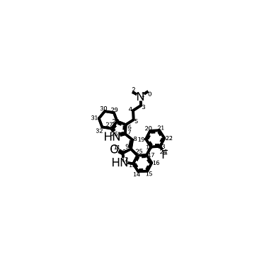 CN(C)CCCc1c(/C=C2\C(=O)Nc3cccc(-c4ccccc4F)c32)[nH]c2c1CCCC2